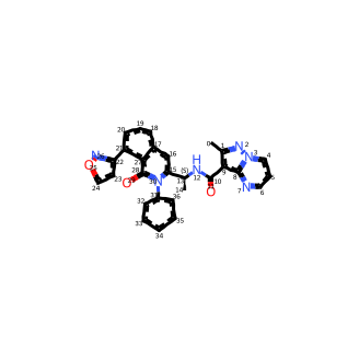 Cc1nn2cccnc2c1C(=O)N[C@@H](C)c1cc2cccc(-c3ccon3)c2c(=O)n1-c1ccccc1